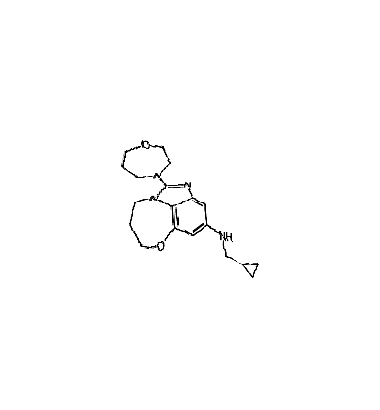 c1c(NCC2CC2)cc2nc(N3CCCOCC3)n3c2c1OCCC3